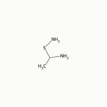 CC(N)SN